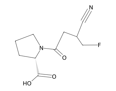 N#CC(CF)CC(=O)N1CCC[C@H]1C(=O)O